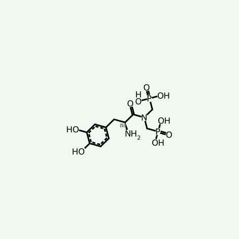 N[C@@H](Cc1ccc(O)c(O)c1)C(=O)N(CP(=O)(O)O)CP(=O)(O)O